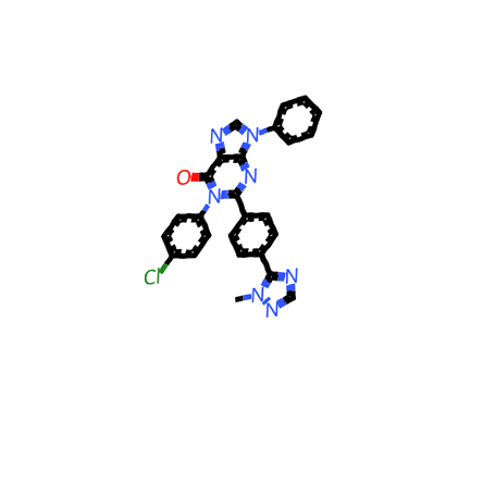 Cn1ncnc1-c1ccc(-c2nc3c(ncn3-c3ccccc3)c(=O)n2-c2ccc(Cl)cc2)cc1